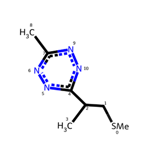 CSCC(C)c1nnc(C)nn1